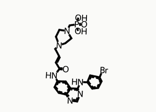 O=C(C=CCN1CCN(CP(=O)(O)O)CC1)Nc1ccc2ncnc(Nc3cccc(Br)c3)c2c1